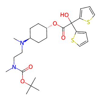 CN(CCN(C)[C@H]1CC[C@H](OC(=O)C(O)(c2cccs2)c2cccs2)CC1)C(=O)OC(C)(C)C